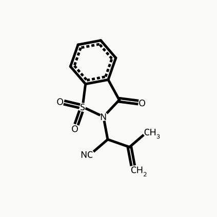 C=C(C)C(C#N)N1C(=O)c2ccccc2S1(=O)=O